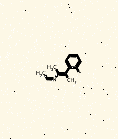 C/C=N\C(C)=C(/C)c1ccccc1F